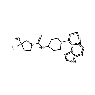 CC1(O)CCN(C(=O)NC2CCN(c3ccnc4cnc5[nH]ccc5c34)CC2)C1